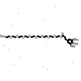 CCCCCCCCCCCCOCCOCCOCCOCCOCCOCCOCCOCCOC(=O)CCc1cc(C(C)(C)C)c(O)c(C(C)(C)C)c1